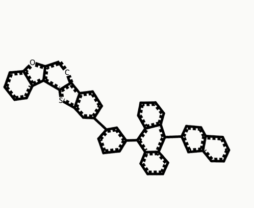 c1cc(-c2ccc3c(c2)sc2c3ccc3oc4ccccc4c32)cc(-c2c3ccccc3c(-c3ccc4ccccc4c3)c3ccccc23)c1